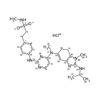 CNS(=O)(=O)CCc1ccc(Nc2nccc(N(C)C3=Cc4nc(NC(C)C)n(C)c4CC3)n2)cc1.Cl